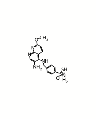 COc1ccc2c(NCc3ccc([SH](N)(=O)S)cc3)c(N)cnc2n1